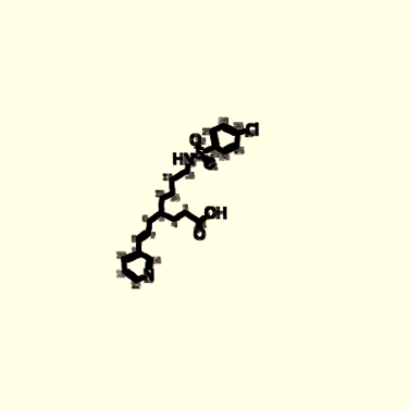 O=C(O)CCC(C/C=C/c1cccnc1)CCCCNS(=O)(=O)c1ccc(Cl)cc1